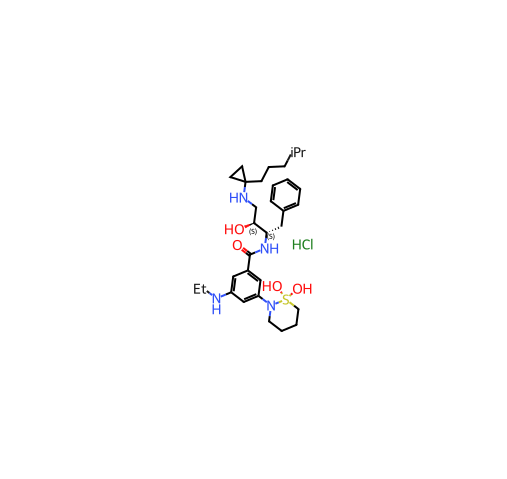 CCNc1cc(C(=O)N[C@@H](Cc2ccccc2)[C@@H](O)CNC2(CCCC(C)C)CC2)cc(N2CCCCS2(O)O)c1.Cl